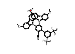 COc1ccc2c(c1)c1cc(OC)ccc1n2-c1cc(C#N)c(-c2cc(C(F)(F)F)cc(C(F)(F)F)c2)cc1-n1c2ccc(OC)cc2c2cc(OC)ccc21